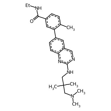 CCNC(=O)c1ccc(C)c(-c2ccc3nc(NCC(C)(C)CN(C)C)ncc3c2)c1